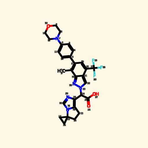 Cc1c(-c2ccc(N3CCOCC3)cc2)cc(C(F)(F)F)c2cn(C(C(=O)O)c3ncn4c3CCC43CC3)nc12